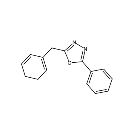 C1=CC(Cc2nnc(-c3ccccc3)o2)=CCC1